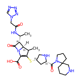 CC(NC(=O)Cn1cnnn1)[C@H]1C(=O)N2C(C(=O)O)=C(S[C@@H]3CN[C@H](C(=O)N4CCCC45CCCNC5)C3)C(C)[C@H]12